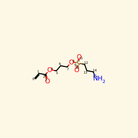 C=CC(=O)OCCCOS(=O)(=O)CCCN